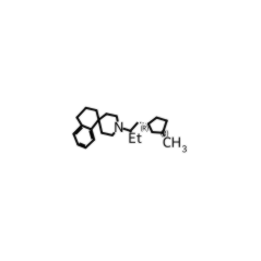 CCC(C[C@@H]1CC[C@@H](C)C1)N1CCC2(CCCc3ccccc32)CC1